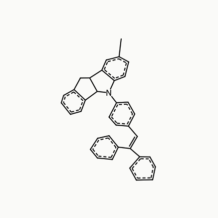 Cc1ccc2c(c1)C1Cc3ccccc3C1N2c1ccc(C=C(c2ccccc2)c2ccccc2)cc1